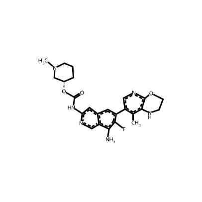 Cc1c(-c2cc3cc(NC(=O)O[C@H]4CCCN(C)C4)ncc3c(N)c2F)cnc2c1NCCO2